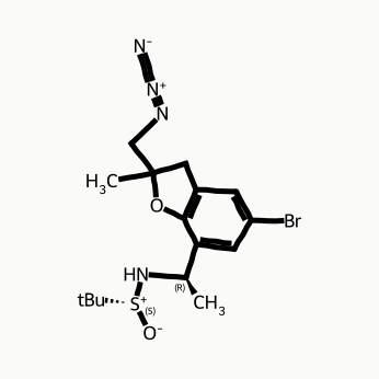 C[C@@H](N[S@+]([O-])C(C)(C)C)c1cc(Br)cc2c1OC(C)(CN=[N+]=[N-])C2